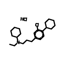 CCN(CCCc1ccc(C2CCCCC2)c(Cl)c1)C1CCCCC1.Cl